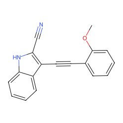 COc1ccccc1C#Cc1c(C#N)[nH]c2ccccc12